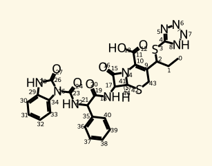 CCC(Sc1nnn[nH]1)C1=C(C(=O)O)N2C(=O)C(NC(=O)C(NC(=O)n3c(=O)[nH]c4ccccc43)c3ccccc3)[C@@H]2SC1